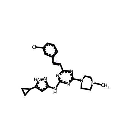 CN1CCN(c2nc(/C=C/c3cccc(Cl)c3)nc(Nc3cc(C4CC4)[nH]n3)n2)CC1